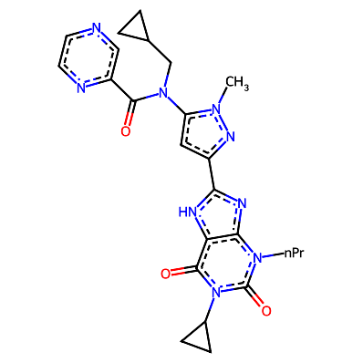 CCCn1c(=O)n(C2CC2)c(=O)c2[nH]c(-c3cc(N(CC4CC4)C(=O)c4cnccn4)n(C)n3)nc21